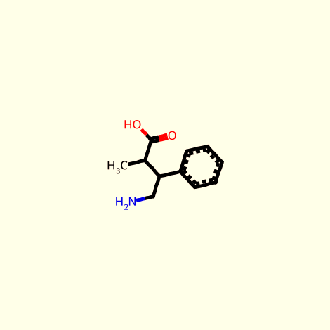 CC(C(=O)O)C(CN)c1ccccc1